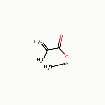 C=C(C)C([O])=O.CCC[SiH3]